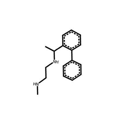 CNCCNC(C)c1ccccc1-c1ccccc1